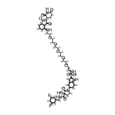 O=C1CCC(N2C(=O)c3cccc(NCCOCCOCCOCCOCCOCCNS(=O)(=O)c4cc5cc(N6CCC(O)(C(=O)NCc7cc(F)cc(F)c7)C6=O)ccc5[nH]4)c3C2=O)C(=O)N1